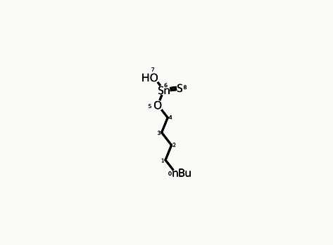 CCCCCCCC[O][Sn]([OH])=[S]